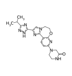 CC(C)c1n[nH]c(-c2cn3c(n2)-c2ccc(N4CCNC(=O)C4)nc2OCC3)n1